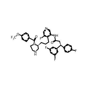 O=C(C[C@@H](c1ccc(F)cc1)c1cc(F)cc(F)c1)Nc1cncc(F)c1CCC[C@H]1CNCCN1C(=O)c1ccc(OC(F)(F)F)cc1